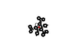 Cc1ccc(N2c3cc(-n4c5ccccc5c5ccccc54)cc4c3P3(=S)c5c(cc(-n6c7ccccc7c7ccccc76)cc5N(c5ccc(C)cc5)c5cc(-n6c7ccccc7c7ccccc76)cc2c53)O4)cc1